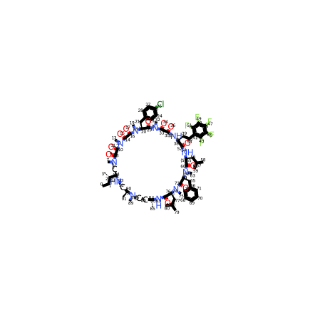 CC[C@H](C)[C@H]1CN(C)C(=O)C(=O)N(C)C(=O)C(=O)N(C)[C@@H](Cc2ccc(Cl)cc2)C(=O)N(C)C(=O)C(=O)N[C@@H](CCc2c(F)c(F)c(F)c(F)c2F)C(=O)N[C@@H](CC(C)C)C(=O)N(C)[C@@H](Cc2ccccc2)C(=O)N(C)[C@@H](CC(C)C)C(=O)N[C@H](C)CCN(C)[C@@H](C)CN1